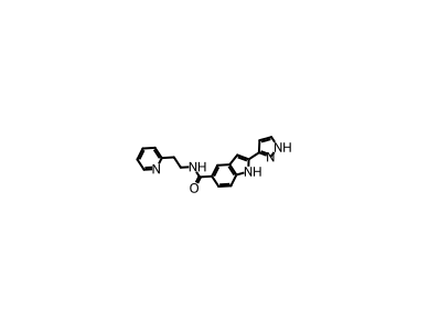 O=C(NCCc1ccccn1)c1ccc2[nH]c(-c3cc[nH]n3)cc2c1